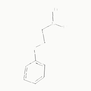 CCCN(CCSc1ccccc1)C(C)C